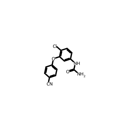 N#Cc1ccc(Oc2cc(NC(N)=O)ccc2Cl)cc1